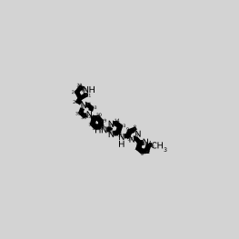 Cc1cccc(-c2nccc(Nc3ccnc(Nc4ccc(N5CCN(CC6CCNC6)CC5)cc4)n3)n2)n1